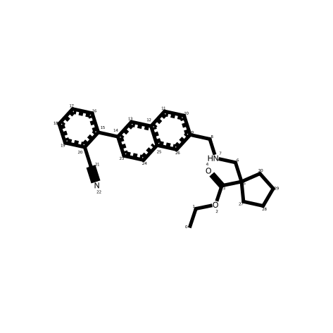 CCOC(=O)C1(CNCc2ccc3cc(-c4ccccc4C#N)ccc3c2)CCCC1